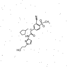 CS(=O)(=O)c1ccc([C@@H](CC2CCCC2)C(=O)Nc2ccn(CCO)n2)cc1C#N